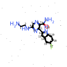 NCCNc1cnc(C(N)=O)c(-c2cc3cc(F)ccc3[nH]2)n1